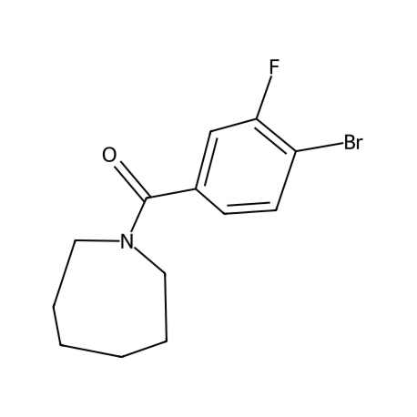 O=C(c1ccc(Br)c(F)c1)N1CCCCCC1